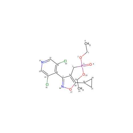 CCOP(=O)(Cc1c(-c2c(Cl)cncc2Cl)noc1C1CC1)OCC